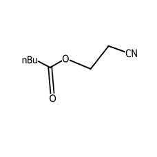 C[CH]CCC(=O)OCCC#N